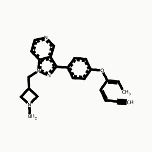 BN1CC(Cn2nc(-c3ccc(OC(/C=C\C#C)=C/C)cc3)c3cnccc32)C1